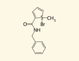 CS1(Br)C=CC=C1C(=O)NCc1ccccc1